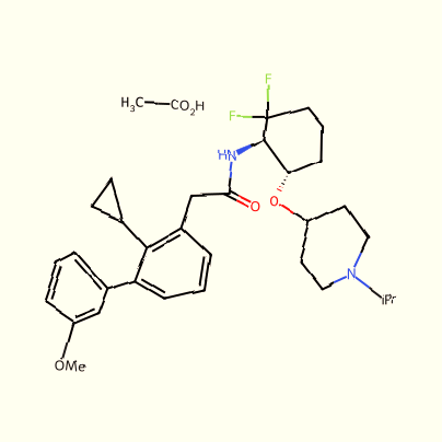 CC(=O)O.COc1cccc(-c2cccc(CC(=O)N[C@@H]3[C@@H](OC4CCN(C(C)C)CC4)CCCC3(F)F)c2C2CC2)c1